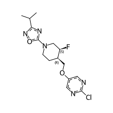 CC(C)c1noc(N2CC[C@H](COc3cnc(Cl)nc3)[C@H](F)C2)n1